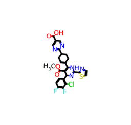 COC(=O)C1=C(C2CCC(c3ncc(C(=O)O)cn3)CC2)NC(c2nccs2)=NC1c1ccc(F)c(F)c1Cl